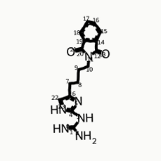 N=C(N)Nc1nc(CCCCN2C(=O)c3ccccc3C2=O)c[nH]1